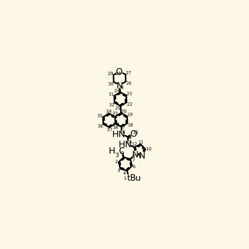 Cc1ccc(C(C)(C)C)cc1-n1nccc1NC(=O)Nc1ccc(-c2ccc(N3CCOCC3)cc2)c2ccccc12